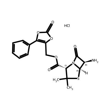 CC1(C)S[C@@H]2[C@H](N)C(=O)N2[C@H]1C(=O)OCc1oc(=O)oc1-c1ccccc1.Cl